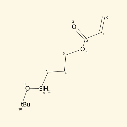 C=CC(=O)OCCC[SiH2]OC(C)(C)C